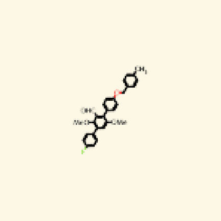 COc1cc(-c2ccc(F)cc2)c(OC)c(C=O)c1-c1ccc(OCc2ccc(C)cc2)cc1